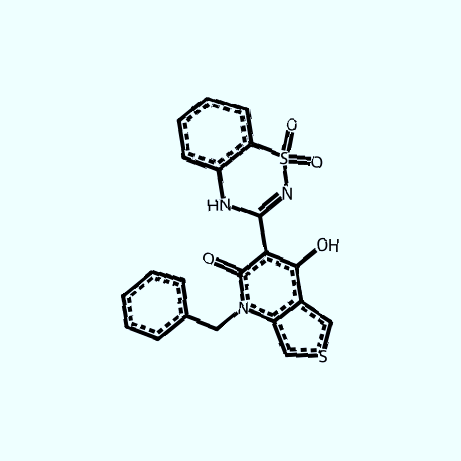 O=c1c(C2=NS(=O)(=O)c3ccccc3N2)c(O)c2cscc2n1Cc1ccccc1